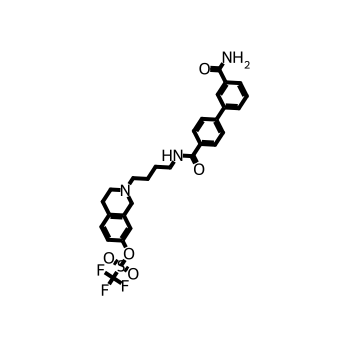 NC(=O)c1cccc(-c2ccc(C(=O)NCCCCN3CCc4ccc(OS(=O)(=O)C(F)(F)F)cc4C3)cc2)c1